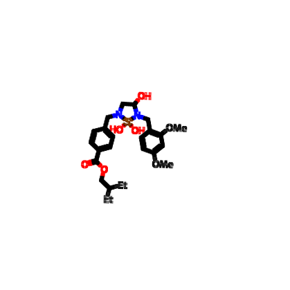 CCC(CC)COC(=O)c1ccc(CN2CC(O)N(Cc3ccc(OC)cc3OC)S2(O)O)cc1